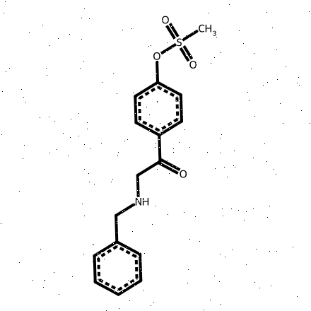 CS(=O)(=O)Oc1ccc(C(=O)CNCc2ccccc2)cc1